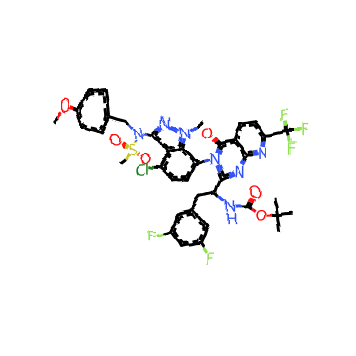 COc1ccc(CN(c2nn(C)c3c(-n4c(C(Cc5cc(F)cc(F)c5)NC(=O)OC(C)(C)C)nc5nc(C(F)(F)F)ccc5c4=O)ccc(Cl)c23)S(C)(=O)=O)cc1